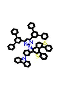 c1ccc(-c2cc(-c3ccccc3)cc(-c3cc(-c4cc(-c5ccccc5)cc(-c5ccccc5)c4)nc(-n4c5ccc(-n6c7ccccc7c7ccccc76)cc5c5c6sc7ccccc7c6c6c(ccc7sc8ccccc8c76)c54)n3)c2)cc1